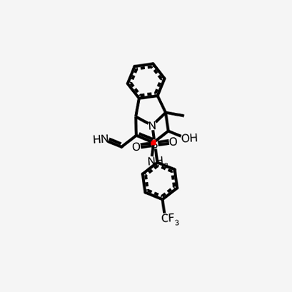 CC12c3ccccc3C(C(C=N)=C(N)C1O)N2S(=O)(=O)c1ccc(C(F)(F)F)cc1